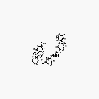 COc1cc(C)c(S(=O)(=O)N2CCCCC2COc2nccc(CNCCN3CCC(O)(c4cccnc4)CC3)n2)c(C)c1